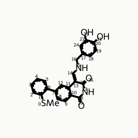 CSc1ccccc1-c1ccc2c(c1)C(=CNCc1ccc(O)c(O)c1)C(=O)NC2=O